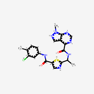 CC(NC(=O)c1ncnc2c1cnn2C)c1ncc(C(=O)Nc2ccc(C(F)(F)F)c(Cl)c2)s1